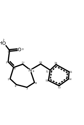 O=C(O)C=C1CCCCN(Cc2ccccc2)C1